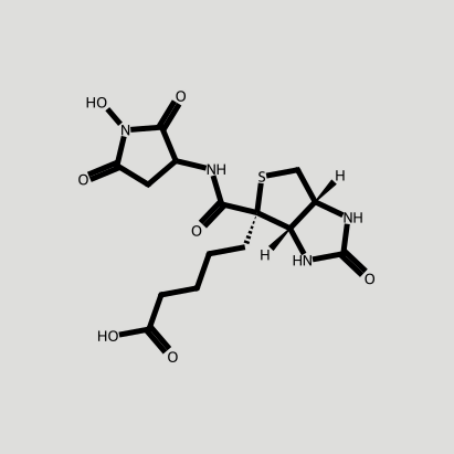 O=C(O)CCCC[C@]1(C(=O)NC2CC(=O)N(O)C2=O)SC[C@@H]2NC(=O)N[C@@H]21